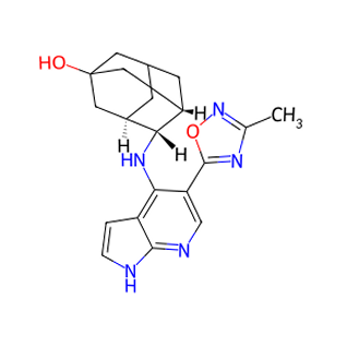 Cc1noc(-c2cnc3[nH]ccc3c2N[C@@H]2[C@@H]3CC4C[C@H]2CC(O)(C4)C3)n1